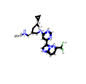 CSNC[C@H]1C[C@@H](C2CC2)CN(c2cc(-c3cnc4ccc(C(F)F)nn34)ncn2)C1